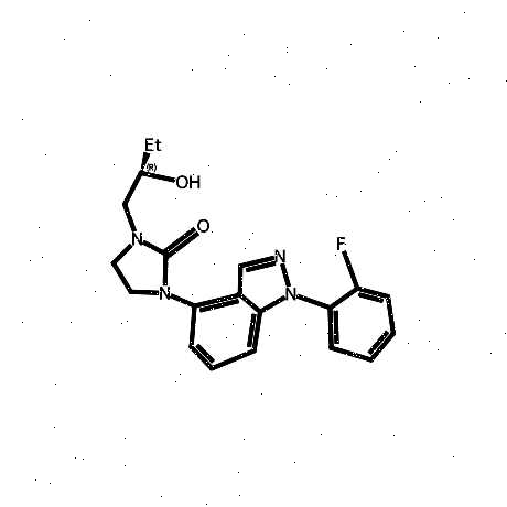 CC[C@@H](O)CN1CCN(c2cccc3c2cnn3-c2ccccc2F)C1=O